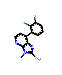 Cn1c(C(=O)O)nc2c(-c3cccc(Cl)c3Cl)ccnc21